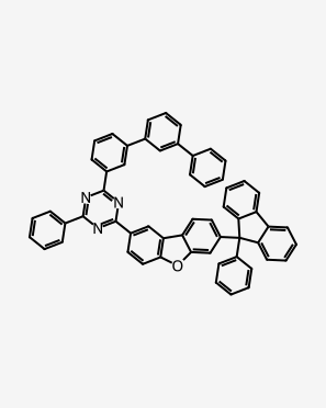 c1ccc(-c2cccc(-c3cccc(-c4nc(-c5ccccc5)nc(-c5ccc6oc7cc(C8(c9ccccc9)c9ccccc9-c9ccccc98)ccc7c6c5)n4)c3)c2)cc1